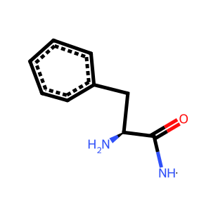 [NH]C(=O)[C@@H](N)Cc1ccccc1